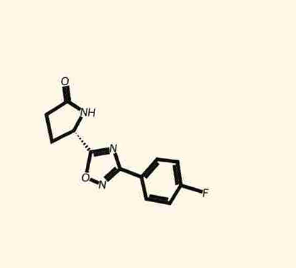 O=C1CC[C@@H](c2nc(-c3ccc(F)cc3)no2)N1